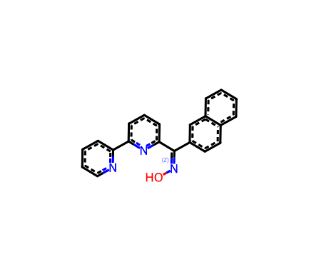 O/N=C(/c1ccc2ccccc2c1)c1cccc(-c2ccccn2)n1